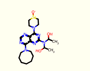 CC(O)N(c1nc(N2CC[S+]([O-])CC2)c2ncnc(N3CCCCCCC3)c2n1)C(C)O